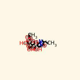 CCCc1cnc2c(O[C@@H]3O[C@@H](COC(C)=O)[C@H](CC(=O)O)[C@H](CC(=O)O)[C@H]3CC(=O)O)cccn2c1=O